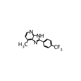 Cc1ccnc2[nH]c(-c3ccc(C(F)(F)F)cc3)nc12